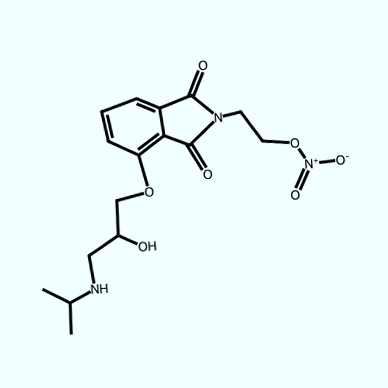 CC(C)NCC(O)COc1cccc2c1C(=O)N(CCO[N+](=O)[O-])C2=O